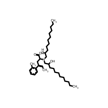 C/C=C(/CC(C(=O)O)N(CC(O)CCCCCCCCCC)CC(O)CCCCCCCCCC)c1ccccc1C